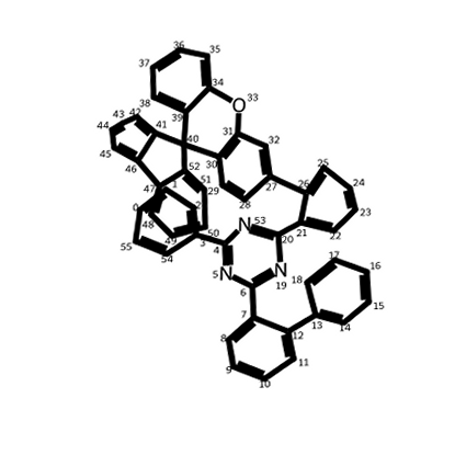 c1ccc(-c2nc(-c3ccccc3-c3ccccc3)nc(-c3ccccc3-c3ccc4c(c3)Oc3ccccc3C43c4ccccc4-c4ccccc43)n2)cc1